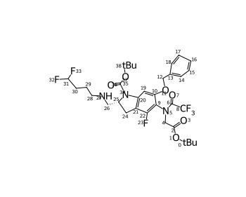 CC(C)(C)OC(=O)CN(C(=O)C(F)(F)F)c1c(OCc2ccccc2)cc2c(c1F)C[C@H](CNCCCC(F)F)N2C(=O)OC(C)(C)C